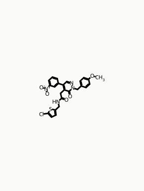 COc1ccc(Cn2ncc(-c3cccc([N+](=O)[O-])c3)c(CC(=O)NCc3ccc(Cl)s3)c2=O)cc1